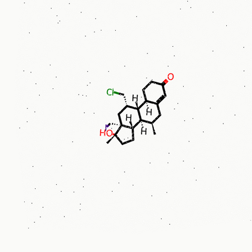 C[C@@H]1CC2=CC(=O)CC[C@@H]2[C@H]2[C@@H](CCl)C[C@@]3(CI)[C@@H](CC[C@]3(C)O)[C@@H]21